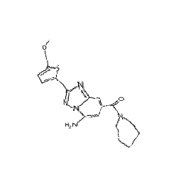 COc1ccc(-c2nc3cc(C(=O)N4CCCCC4)cc(N)n3n2)s1